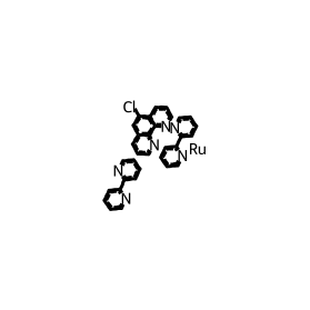 Clc1cc2cccnc2c2ncccc12.[Ru].c1ccc(-c2ccccn2)nc1.c1ccc(-c2ccccn2)nc1